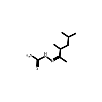 CC(=NNC(N)=S)C(C)CC(C)C